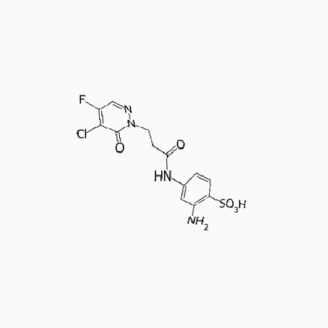 Nc1cc(NC(=O)CCn2ncc(F)c(Cl)c2=O)ccc1S(=O)(=O)O